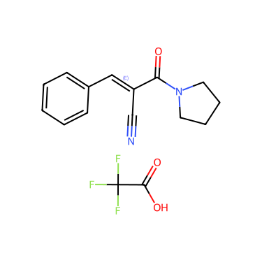 N#C/C(=C\c1ccccc1)C(=O)N1CCCC1.O=C(O)C(F)(F)F